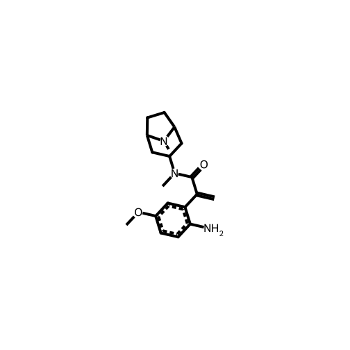 C=C(C(=O)N(C)C1CC2CCC(C1)N2C)c1cc(OC)ccc1N